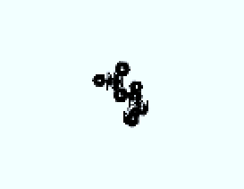 c1ccc(-c2nc(-c3ccccc3)nc(-c3cccc(-c4nc(-c5nccc6c5oc5ncccc56)cc5ccccc45)c3)n2)cc1